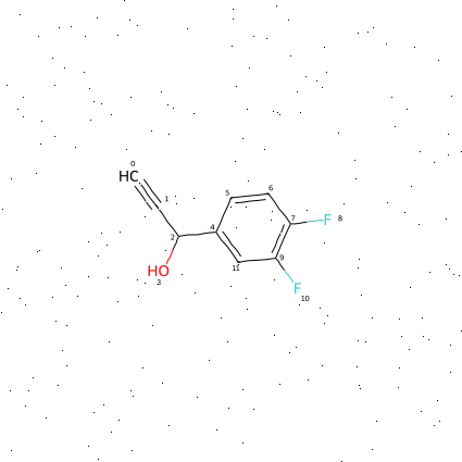 C#CC(O)c1ccc(F)c(F)c1